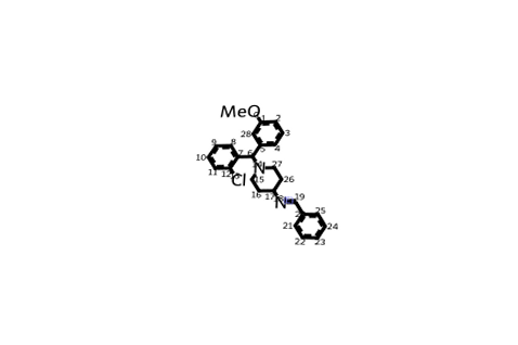 COc1cccc(C(c2ccccc2Cl)N2CCC(/N=C/c3ccccc3)CC2)c1